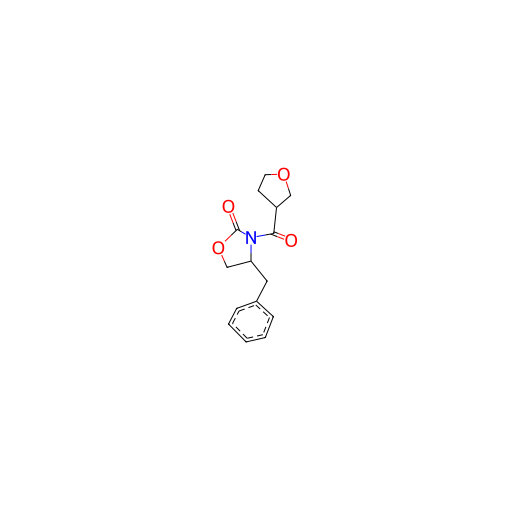 O=C1OCC(Cc2ccccc2)N1C(=O)C1CCOC1